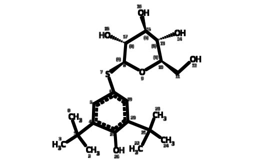 CC(C)(C)c1cc(S[C@@H]2O[C@H](CO)[C@@H](O)[C@H](O)[C@H]2O)cc(C(C)(C)C)c1O